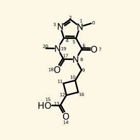 Cn1cnc2c1c(=O)n(CC1CC(C(=O)O)C1)c(=O)n2C